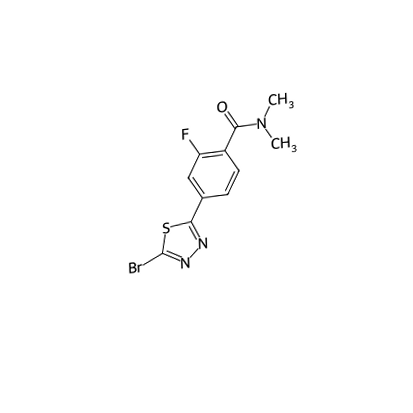 CN(C)C(=O)c1ccc(-c2nnc(Br)s2)cc1F